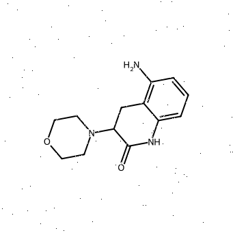 Nc1cccc2c1CC(N1CCOCC1)C(=O)N2